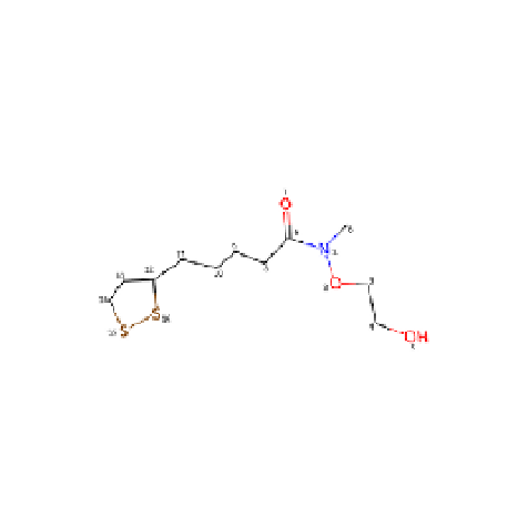 CN(OCCO)C(=O)CCCCC1CCSS1